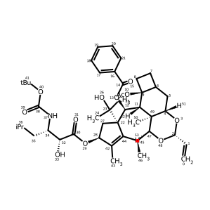 C=C[C@H]1O[C@H]2CC3CC[C@@]3(OC(C)=O)[C@H]3[C@H](OC(=O)c4ccccc4)[C@]4(C(C)(C)O)C[C@H](OC(=O)[C@H](O)[C@H](CC(C)C)NC(=O)OC(C)(C)C)C(C)=C4[C@H](C)[C@H](O1)[C@]23C